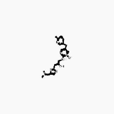 Cc1ccc(Cc2cnc(NCC(O)Cc3ncc(CN(C)C)s3)[n+]([O-])c2)cn1